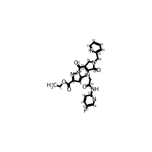 CCOC(=O)c1cc2n(CC(=O)Nc3ccc(F)cn3)c3c(c(=O)n2n1)CN(Cc1ccccn1)C3=O